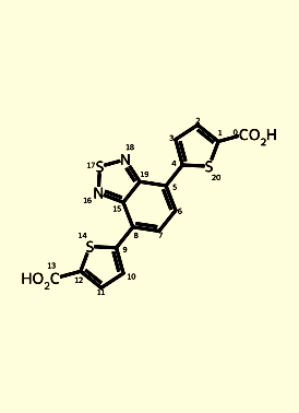 O=C(O)c1ccc(-c2ccc(-c3ccc(C(=O)O)s3)c3nsnc23)s1